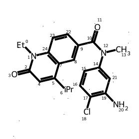 CCn1c(=O)cc(C(C)C)c2cc(C(=O)N(C)c3ccc(Cl)c(N)c3)ccc21